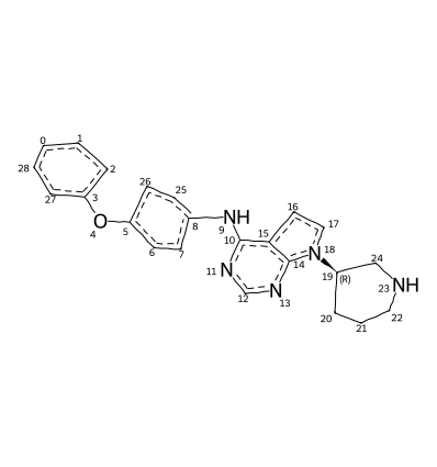 c1ccc(Oc2ccc(Nc3ncnc4c3ccn4[C@@H]3CCCNC3)cc2)cc1